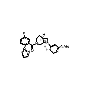 CNC1=NCNC(N2C[C@@H]3CCN(C(=O)c4cc(F)ccc4-n4nccn4)C[C@@H]32)=C1